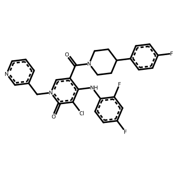 O=C(c1cn(Cc2cccnc2)c(=O)c(Cl)c1Nc1ccc(F)cc1F)N1CCC(c2ccc(F)cc2)CC1